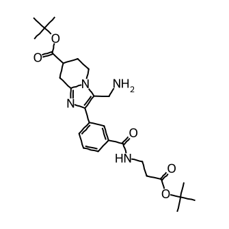 CC(C)(C)OC(=O)CCNC(=O)c1cccc(-c2nc3n(c2CN)CCC(C(=O)OC(C)(C)C)C3)c1